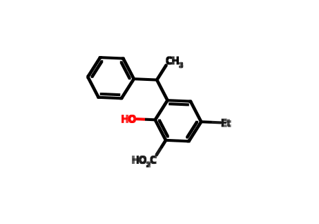 CCc1cc(C(=O)O)c(O)c(C(C)c2ccccc2)c1